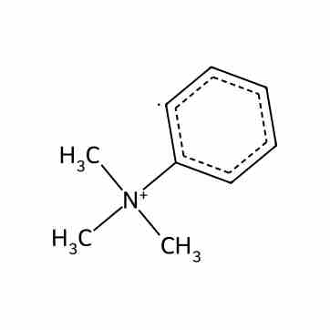 C[N+](C)(C)c1[c]cccc1